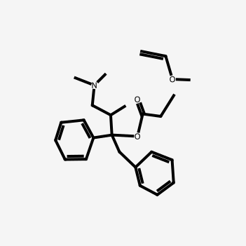 C=COC.CCC(=O)OC(Cc1ccccc1)(c1ccccc1)C(C)CN(C)C